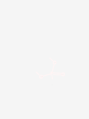 C#CC1OP(=O)(Cl)OCC1(C)C